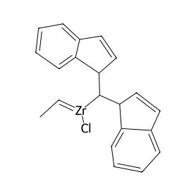 C[CH]=[Zr]([Cl])[CH](C1C=Cc2ccccc21)C1C=Cc2ccccc21